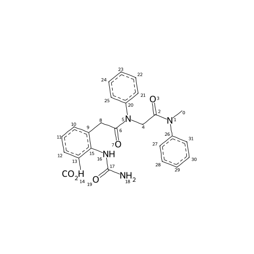 CN(C(=O)CN(C(=O)Cc1cccc(C(=O)O)c1NC(N)=O)c1ccccc1)c1ccccc1